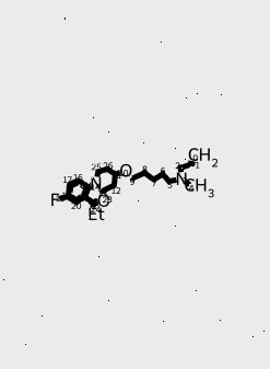 C=CCN(C)CCCCCOC1CCN(c2ccc(F)cc2C(=O)CC)CC1